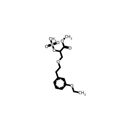 CCOc1cccc(CCOCC(OS(C)(=O)=O)C(=O)OC)c1